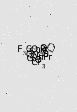 CCCC(CCC)(N1Oc2ccccc2O1)N(S(=O)(=O)C(F)(F)F)S(=O)(=O)C(F)(F)F